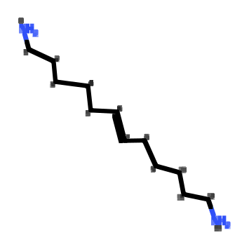 NCCCCC/C=C/CCCCCN